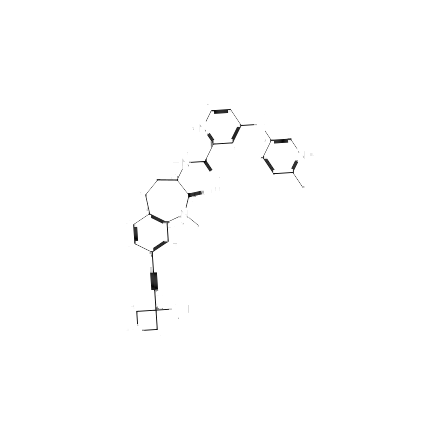 Cc1ccc(Oc2ccnc(C(=O)NC3CCc4ccc(C#CC5(O)COC5)cc4N(C)C3=O)c2)cn1